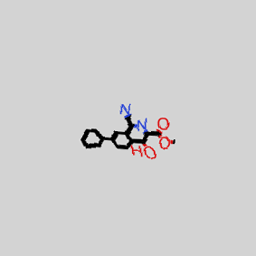 COC(=O)c1nc(C#N)c2cc(-c3ccccc3)ccc2c1O